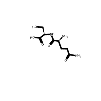 NC(=O)CC[C@H](N)C(=O)N[C@H](CO)C(=O)O